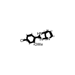 COc1cc(Cl)ccc1-c1nc2ncccc2[nH]1